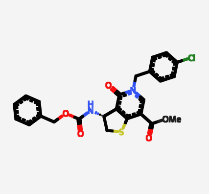 COC(=O)c1cn(Cc2ccc(Cl)cc2)c(=O)c2c1SC[C@@H]2NC(=O)OCc1ccccc1